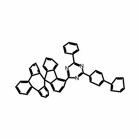 c1ccc(-c2ccc(-c3nc(-c4ccccc4)nc(-c4cccc5c4-c4ccccc4C54c5ccccc5-c5ccccc5-c5ccccc54)n3)cc2)cc1